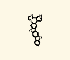 c1ccc2c(c1)oc1cc3c(cc12)oc1cc2c(cc13)c1ccncc1c1nccn21